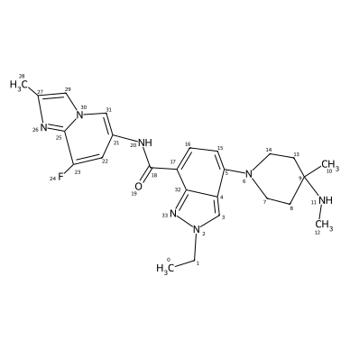 CCn1cc2c(N3CCC(C)(NC)CC3)ccc(C(=O)Nc3cc(F)c4nc(C)cn4c3)c2n1